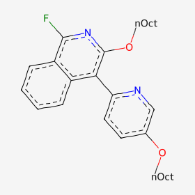 CCCCCCCCOc1ccc(-c2c(OCCCCCCCC)nc(F)c3ccccc23)nc1